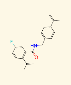 C=C(C)c1ccc(CNC(=O)c2cc(F)ccc2C(=C)C)cc1